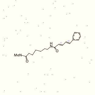 CNC(=O)CCCCCCNC(=O)/C=C/C=C/c1ccccc1